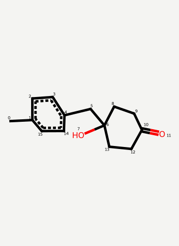 Cc1ccc(CC2(O)CCC(=O)CC2)cc1